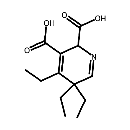 CCC1=C(C(=O)O)C(C(=O)O)N=CC1(CC)CC